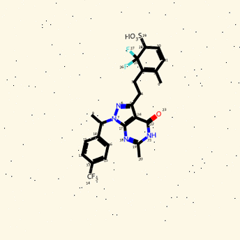 CC1=C(CCc2nn(C(C)c3ccc(C(F)(F)F)cc3)c3nc(C)[nH]c(=O)c23)C(F)(F)C(S(=O)(=O)O)C=C1